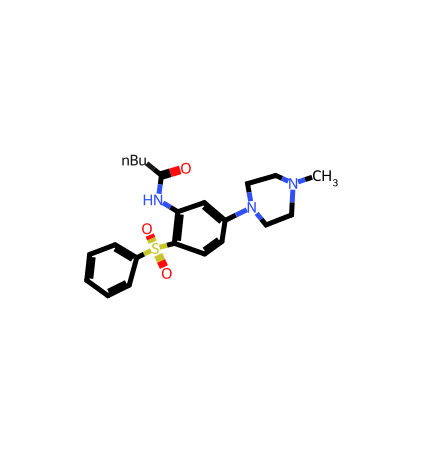 CCCCC(=O)Nc1cc(N2CCN(C)CC2)ccc1S(=O)(=O)c1ccccc1